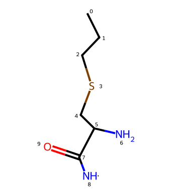 CCCSCC(N)C([NH])=O